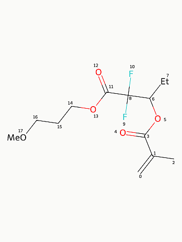 C=C(C)C(=O)OC(CC)C(F)(F)C(=O)OCCCOC